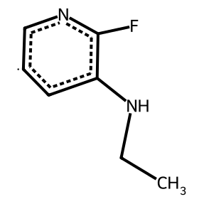 CCNc1c[c]cnc1F